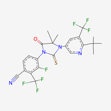 CC(C)(C)c1ncc(N2C(=S)N(c3ccc(C#N)c(C(F)(F)F)c3F)C(=O)C2(C)C)cc1C(F)(F)F